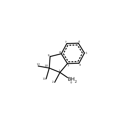 BC1(C)c2ccccc2CC1(C)C